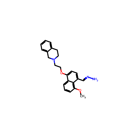 COc1cccc2c(OCCN3CCc4ccccc4C3)ccc(C=NN)c12